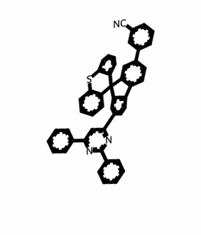 N#Cc1cccc(-c2ccc3c(c2)C2(c4ccccc4Sc4ccccc42)c2cc(-c4cc(-c5ccccc5)nc(-c5ccccc5)n4)ccc2-3)c1